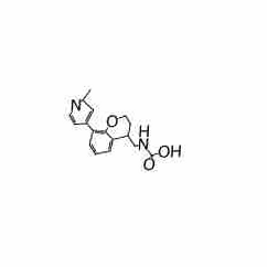 Cc1cc(-c2cccc3c2OCCC3CNC(=O)O)ccn1